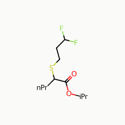 CCCC(SCCC(F)F)C(=O)OC(C)C